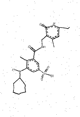 CCN(c1cc(S(=O)(=O)CC)cc(C(=O)NCc2c(C)cc(C)[nH]c2=O)c1C)C1CCCCC1